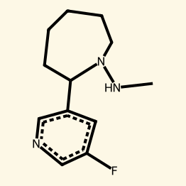 CNN1CCCCCC1c1cncc(F)c1